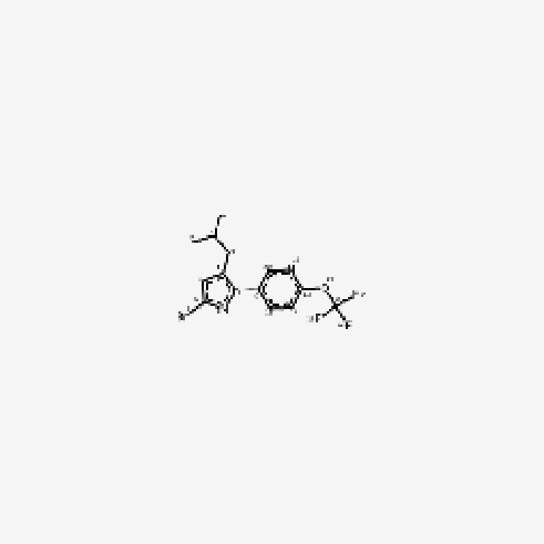 CC(C)Cc1cc(Br)nn1-c1ccc(OC(F)(F)F)nc1